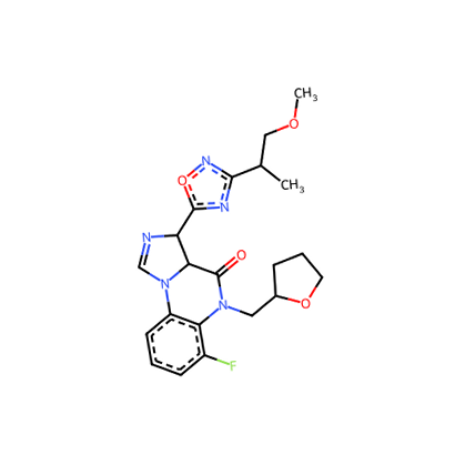 COCC(C)c1noc(C2N=CN3c4cccc(F)c4N(CC4CCCO4)C(=O)C23)n1